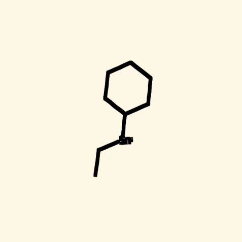 C[CH2][Sn][CH]1CCCCC1